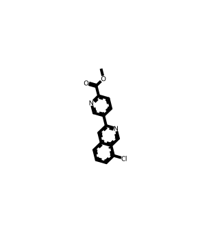 COC(=O)c1ccc(-c2cc3cccc(Cl)c3cn2)cn1